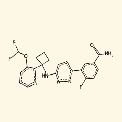 NC(=O)c1ccc(F)c(-c2ccc(NC3(c4ncccc4OC(F)F)CCC3)nn2)c1